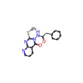 CC(C)Sc1nc2ncccc2c(=O)n1NC(=O)Cc1ccccc1